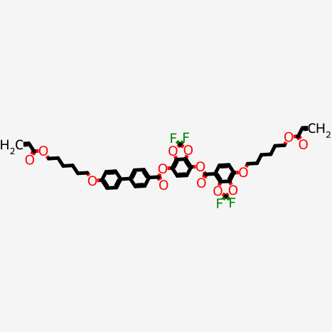 C=CC(=O)OCCCCCCOc1ccc(-c2ccc(C(=O)Oc3ccc(OC(=O)c4ccc(OCCCCCCOC(=O)C=C)c5c4OC(F)(F)O5)c4c3OC(F)(F)O4)cc2)cc1